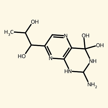 CC(O)C(O)c1cnc2c(n1)NC(N)NC2(O)O